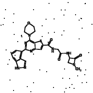 CN1CC(NC(=O)CNC(=O)c2cc3nc(-c4cccc5[nH]ncc45)nc(N4CCOCC4)c3s2)C1=O